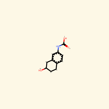 O=C(O)Nc1ccc2c(c1)CC(O)CC2